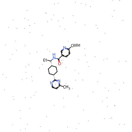 CCC(NC(=O)c1ccc(OC)nc1)[C@H]1CC[C@@H](c2nccc(C)n2)CC1